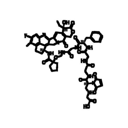 CC[C@@]1(O)C(=O)OCc2c1cc1n(c2=O)Cc2c-1nc1cc(F)c(C)c3c1c2[C@@H](NC(=O)C1(OCNC(=O)CNC(=O)[C@H](Cc2ccccc2)NC(=O)CNC(=O)CNC(=O)[C@H](CNCC(=O)O)N2C(=O)C=CC2=O)CCCC1)CC3